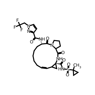 CC1(S(=O)(=O)NC(=O)[C@@]23CC2/C=C\CCCCC[C@H](NC(=O)c2ccn(CC(F)(F)F)n2)C(=O)N2CCCC2C(=O)N3)CC1